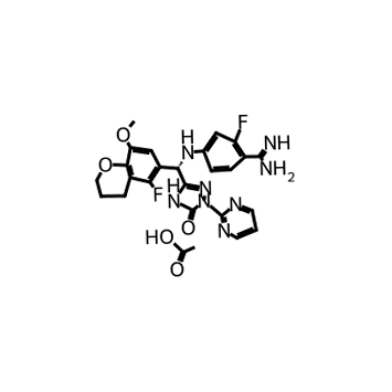 CC(=O)O.COc1cc([C@H](Nc2ccc(C(=N)N)c(F)c2)c2nn(-c3ncccn3)c(=O)[nH]2)c(F)c2c1OCCC2